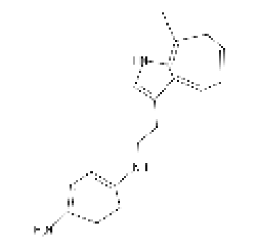 CC1=c2[nH]cc(CCNC3=CC=C(N)CC3)c2=CC=CC1